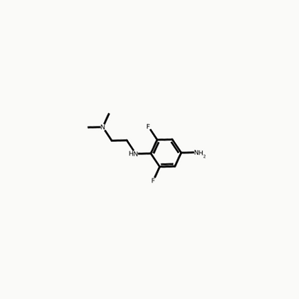 CN(C)CCNc1c(F)cc(N)cc1F